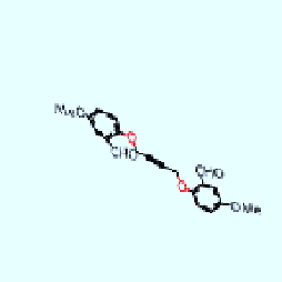 COc1ccc(OCC#CCOc2ccc(OC)cc2C=O)c(C=O)c1